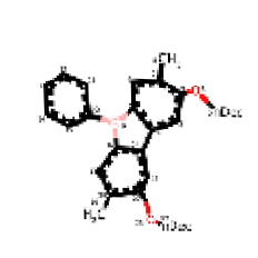 CCCCCCCCCCOc1cc2c(cc1C)B(c1ccccc1)c1cc(C)c(OCCCCCCCCCC)cc1-2